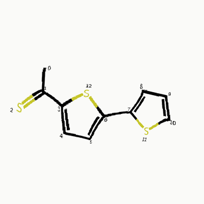 CC(=S)c1ccc(-c2cccs2)s1